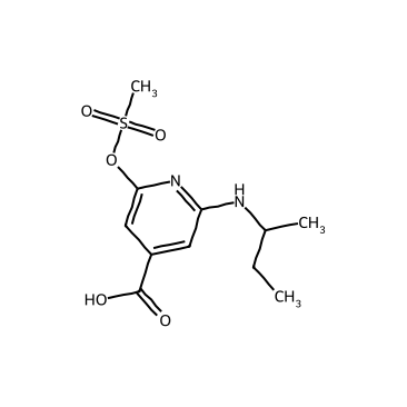 CCC(C)Nc1cc(C(=O)O)cc(OS(C)(=O)=O)n1